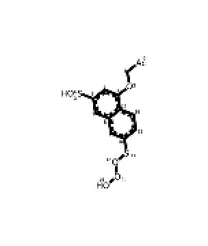 CC(=O)COc1cc(S(=O)(=O)O)cc2cc(SOOO)ccc12